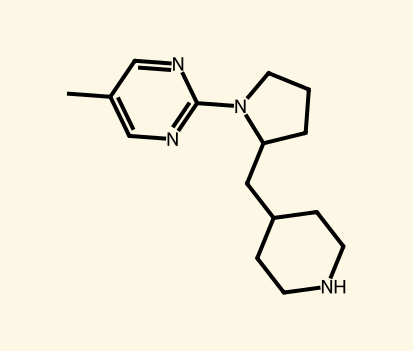 Cc1cnc(N2CCCC2CC2CCNCC2)nc1